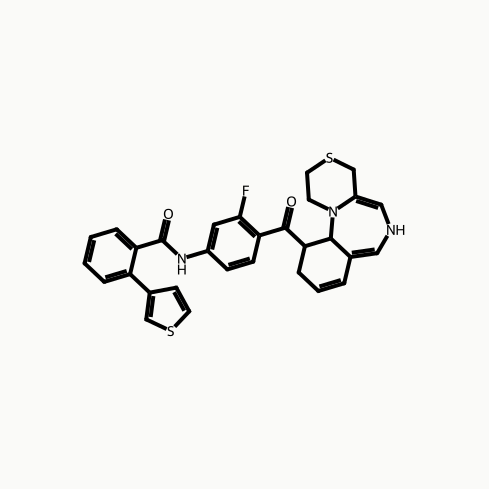 O=C(Nc1ccc(C(=O)C2CC=CC3=CNC=C4CSCCN4C32)c(F)c1)c1ccccc1-c1ccsc1